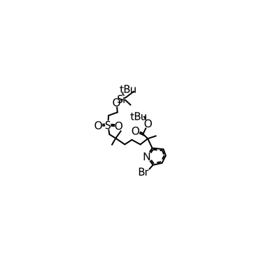 CC(C)(CCCC(C)(C(=O)OC(C)(C)C)c1cccc(Br)n1)CS(=O)(=O)CCO[Si](C)(C)C(C)(C)C